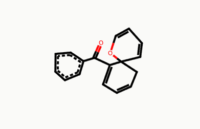 O=C(C1=CC=CCC12C=CC=CO2)c1ccccc1